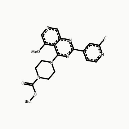 COc1cncc2nc(-c3ccnc(Cl)c3)nc(N3CCN(C(=O)OC(C)(C)C)CC3)c12